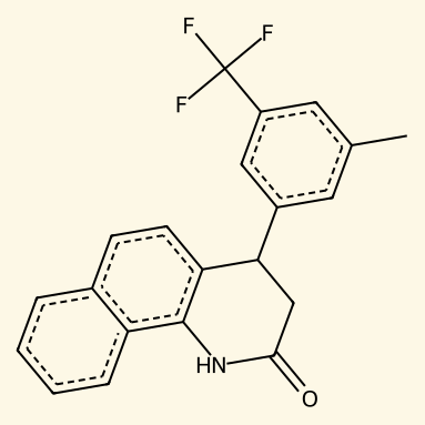 Cc1cc(C2CC(=O)Nc3c2ccc2ccccc32)cc(C(F)(F)F)c1